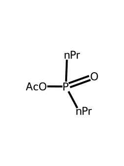 CCCP(=O)(CCC)OC(C)=O